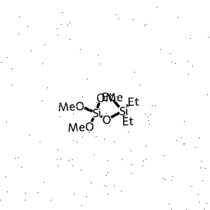 CC[Si](CC)(CC)O[Si](OC)(OC)OC